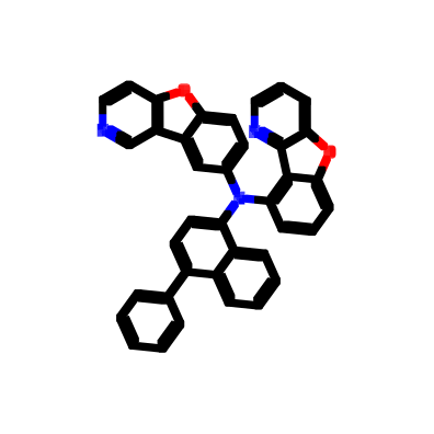 c1ccc(-c2ccc(N(c3ccc4oc5ccncc5c4c3)c3cccc4oc5cccnc5c34)c3ccccc23)cc1